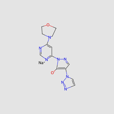 [Na+].[O-]c1c(-n2ccnn2)cnn1-c1cc(N2CCOCC2)ncn1